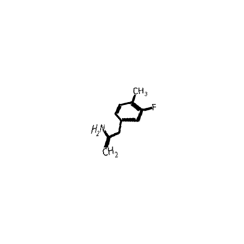 C=C(N)Cc1ccc(C)c(F)c1